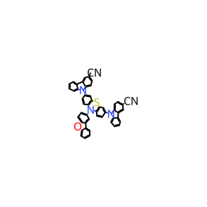 N#Cc1ccc2c(c1)c1ccccc1n2-c1ccc2c(c1)Sc1cc(-n3c4ccccc4c4cc(C#N)ccc43)ccc1N2c1ccc2oc3ccccc3c2c1